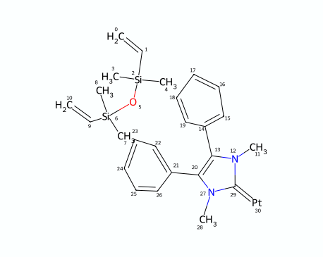 C=C[Si](C)(C)O[Si](C)(C)C=C.Cn1c(-c2ccccc2)c(-c2ccccc2)n(C)[c]1=[Pt]